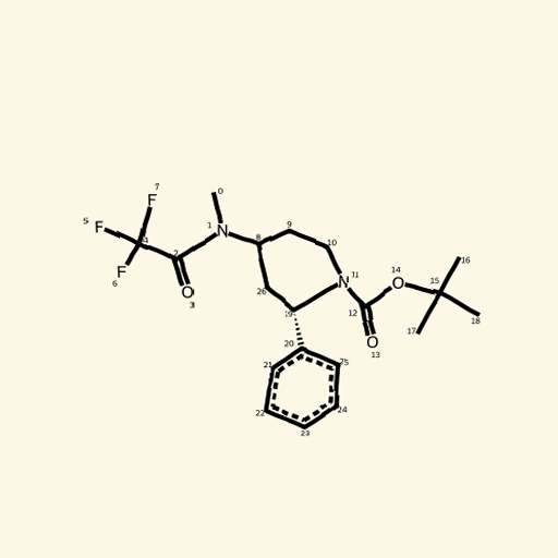 CN(C(=O)C(F)(F)F)C1CCN(C(=O)OC(C)(C)C)[C@H](c2ccccc2)C1